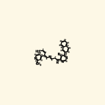 C\C=C/C(=C\N=C\CNc1ncnc(-c2ccc3ccccc3c2)c1F)c1ccnc(C)c1